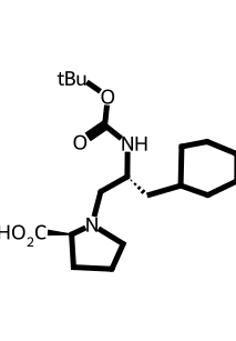 CC(C)(C)OC(=O)N[C@H](CC1CCCCC1)CN1CCC[C@H]1C(=O)O